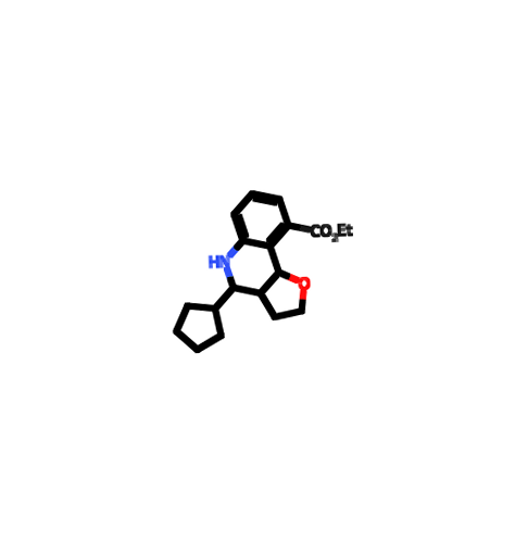 CCOC(=O)c1cccc2c1C1OCCC1C(C1CCCC1)N2